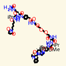 CC[C@H](C)[C@@H]([C@@H](CC(=O)N1CCC[C@H]1[C@H](OC)[C@@H](C)C(=O)N[C@@H](Cc1ccccc1)c1nccs1)OC)N(C)C(=O)[C@@H](NC(=O)C(C)(C)NC(=O)CCOCCOCCOCCNC(=O)OCc1ccc(NC(=O)[C@H](CCCNC(N)=O)NC(=O)[C@@H](NC(=O)CCCCCN2C(=O)C=CC2=O)C(C)C)cc1)C(C)C